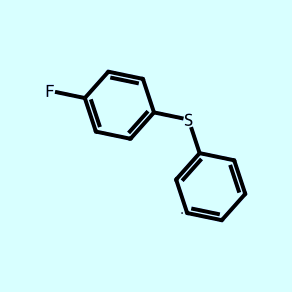 Fc1ccc(Sc2c[c]ccc2)cc1